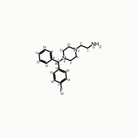 NCCN1CCN([C@H](c2ccccc2)c2ccc(F)cc2)CC1